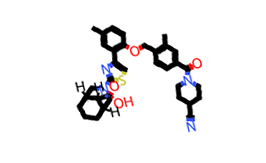 Cc1ccc(OCc2ccc(C(=O)N3CCC(C#N)CC3)cc2C)c(-c2csc(N3C[C@H]4CCC[C@@H](C3)[C@H]4C(=O)O)n2)c1